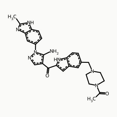 CC(=O)N1CCN(Cc2ccc3[nH]c(C(=O)c4cnn(-c5ccc6[nH]c(C)nc6c5)c4N)cc3c2)CC1